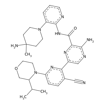 CC(C)C1COCCN1c1ccc(C#N)c(-c2cnc(N)c(C(=O)Nc3ncccc3N3CCC(C)(N)CC3)n2)n1